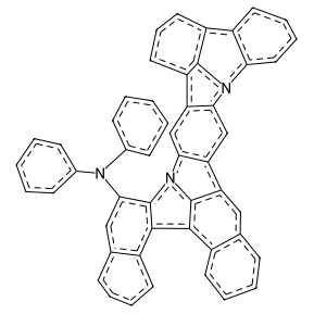 c1ccc(N(c2ccccc2)c2cc3ccccc3c3c4c5ccccc5cc5c6cc7c(cc6n(c23)c54)c2cccc3c4ccccc4n7c32)cc1